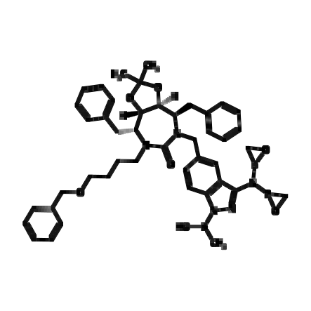 CB(O)n1nc(N(B2CO2)B2CO2)c2cc(CN3C(=O)N(CCCCOCc4ccccc4)[C@H](Cc4ccccc4)[C@@H]4OC(C)(C)O[C@H]4[C@H]3Cc3ccccc3)ccc21